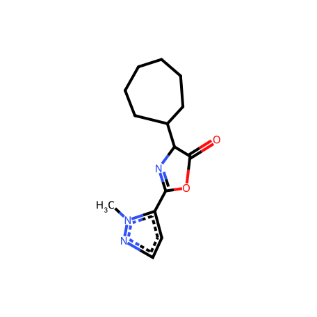 Cn1nccc1C1=NC(C2CCCCCC2)C(=O)O1